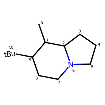 CC1C2CCCN2CCC1C(C)(C)C